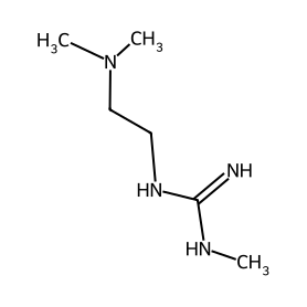 CNC(=N)NCCN(C)C